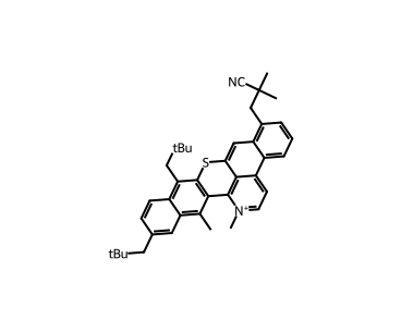 Cc1c2c(c(CC(C)(C)C)c3ccc(CC(C)(C)C)cc13)Sc1cc3c(CC(C)(C)C#N)cccc3c3cc[n+](C)c-2c13